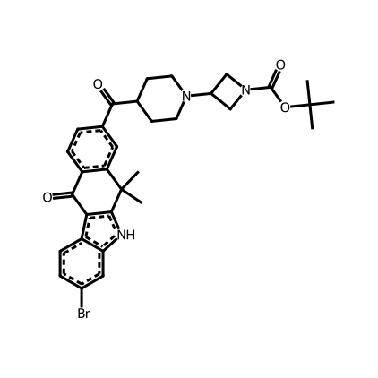 CC(C)(C)OC(=O)N1CC(N2CCC(C(=O)c3ccc4c(c3)C(C)(C)c3[nH]c5cc(Br)ccc5c3C4=O)CC2)C1